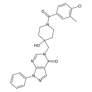 Cc1cc(C(=O)N2CCC(O)(Cn3cnc4c(cnn4-c4ccccc4)c3=O)CC2)ccc1Cl